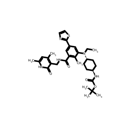 CCN(c1cc(-c2nccs2)cc(C(=O)NCc2c(C)cc(C)[nH]c2=O)c1C)[C@H]1CC[C@H](NC(=O)OC(C)(C)C)CC1